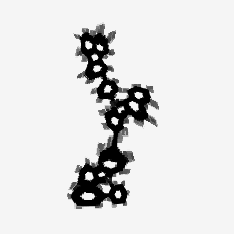 c1ccc(-c2ccccc2-n2c3ccccc3c3cc(-c4ccc5c(c4)c4ccc6ccccc6c4n5-c4ccc(-c5ccc6c(c5)-c5cccc7cccc-6c57)cc4)ccc32)cc1